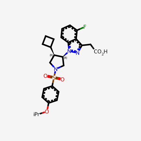 CC(C)Oc1ccc(S(=O)(=O)N2C[C@@H](C3CCC3)[C@@H](n3nc(CC(=O)O)c4c(F)cccc43)C2)cc1